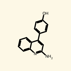 Nc1cc(-c2ccc(O)cc2)c2ccccc2n1